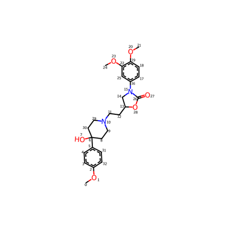 COc1ccc(C2(O)CCN(CCC3CN(c4ccc(OC)c(OC)c4)C(=O)O3)CC2)cc1